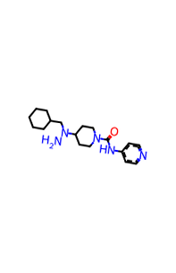 NN(CC1CCCCC1)C1CCN(C(=O)Nc2ccncc2)CC1